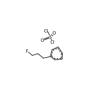 FCCCc1ccccc1.O=S(=O)(Cl)Cl